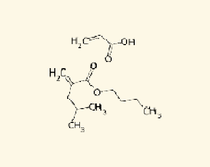 C=C(CC(C)C)C(=O)OCCCC.C=CC(=O)O